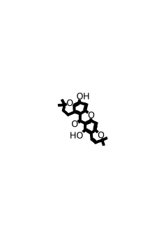 CC1(C)C=Cc2c(cc3oc4cc(O)c5c(c4c(=O)c3c2O)CCC(C)(C)O5)O1